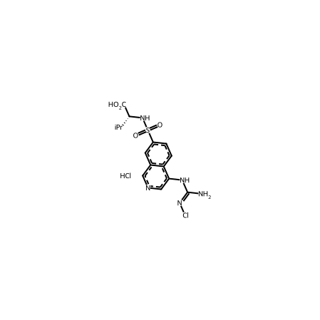 CC(C)[C@@H](NS(=O)(=O)c1ccc2c(NC(N)=NCl)cncc2c1)C(=O)O.Cl